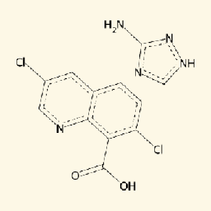 Nc1nc[nH]n1.O=C(O)c1c(Cl)ccc2cc(Cl)cnc12